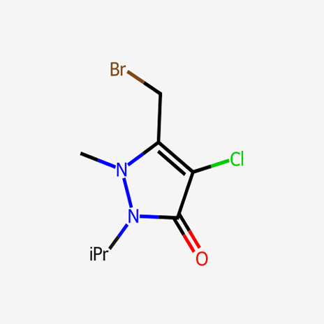 CC(C)n1c(=O)c(Cl)c(CBr)n1C